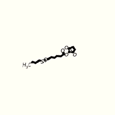 CCCCSSCCCCCC(=O)ON1C(=O)CCC1=O